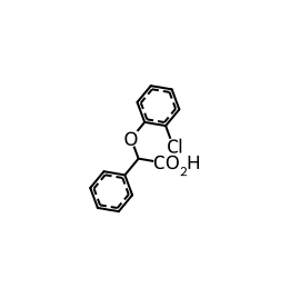 O=C(O)C(Oc1ccccc1Cl)c1ccccc1